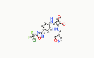 O=c1c(NCc2cnoc2)c(Nc2ccc(-c3noc(C(F)(F)Cl)n3)cc2)c1=O